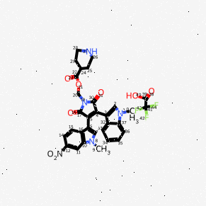 Cn1cc(C2=C(c3cn(C)c4cc([N+](=O)[O-])ccc34)C(=O)N(COC(=O)C3CCNCC3)C2=O)c2ccccc21.O=C(O)C(F)(F)F